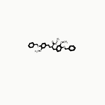 COC(=O)C(CCc1ccc(OCc2ccccc2)c(OC)c1)Cc1ccc(OCc2ccccc2)c(OC)c1